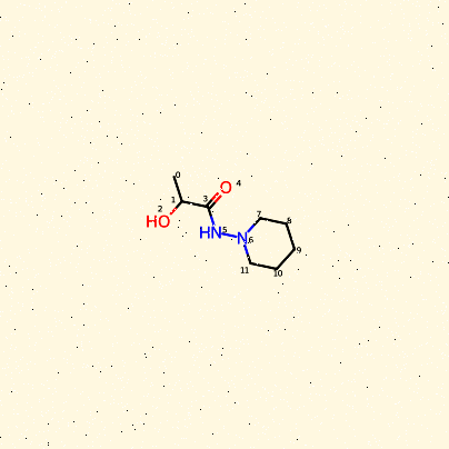 CC(O)C(=O)NN1CCCCC1